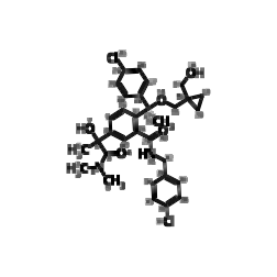 CN(C)C(=O)C(C)(O)c1ccc([C@](C)(OCC2(CO)CC2)c2ccc(Cl)cc2)c(C(=O)NCc2ccc(Cl)cc2)c1